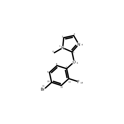 Cn1ccnc1Oc1ccc(Br)cc1F